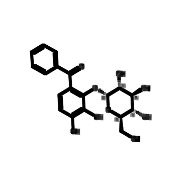 O=C(c1ccccc1)c1ccc(O)c(O)c1O[C@H]1O[C@H](CO)[C@@H](O)[C@H](O)[C@H]1O